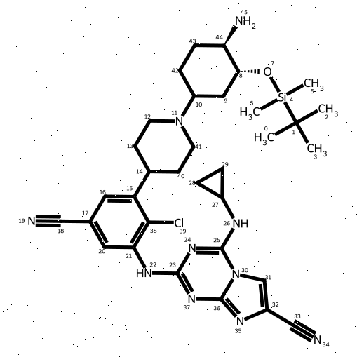 CC(C)(C)[Si](C)(C)O[C@@H]1CC(N2CCC(c3cc(C#N)cc(Nc4nc(NC5CC5)n5cc(C#N)nc5n4)c3Cl)CC2)CC[C@H]1N